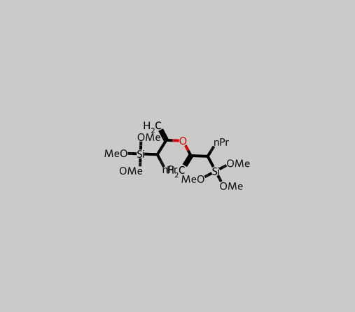 C=C(OC(=C)C(CCC)[Si](OC)(OC)OC)C(CCC)[Si](OC)(OC)OC